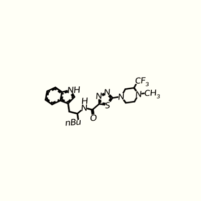 CCCCC(Cc1c[nH]c2ccccc12)NC(=O)c1nnc(N2CCN(C)C(C(F)(F)F)C2)s1